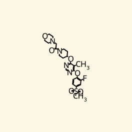 Cc1c(Oc2ccc(S(C)(=O)=O)cc2F)ncnc1OC1CCN(C(=O)CN2CCOCC2)CC1